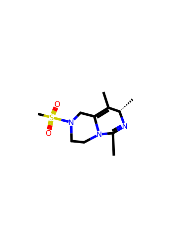 CC1=N[C@@H](C)C(C)=C2CN(S(C)(=O)=O)CCN12